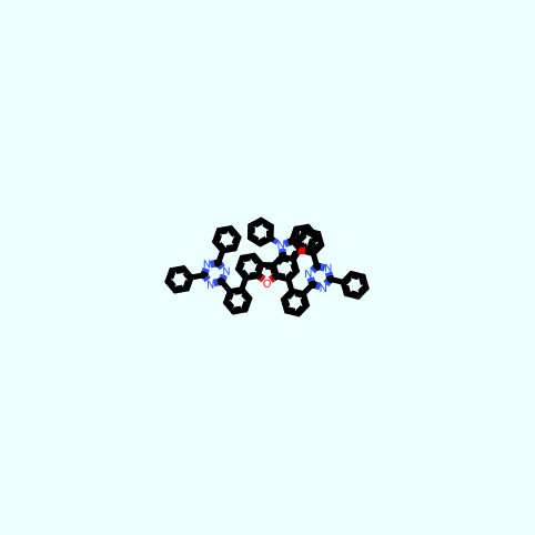 c1ccc(-c2nc(-c3ccccc3)nc(-c3ccccc3-c3cccc4c3oc3c(-c5ccccc5-c5nc(-c6ccccc6)nc(-c6ccccc6)n5)cc5c6ccccc6n(-c6ccccc6)c5c34)n2)cc1